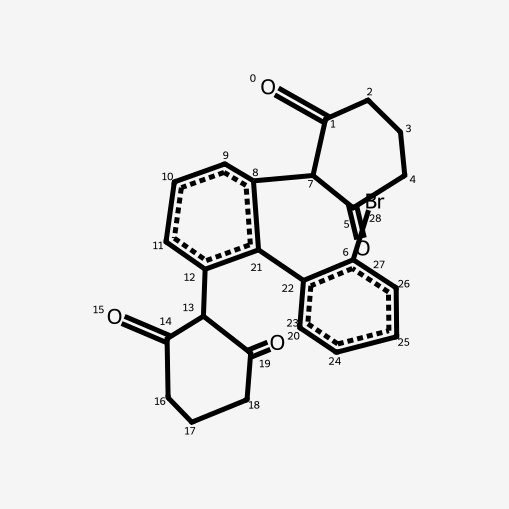 O=C1CCCC(=O)C1c1cccc(C2C(=O)CCCC2=O)c1-c1ccccc1Br